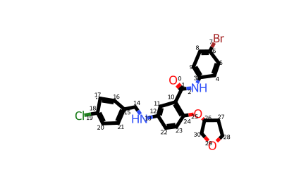 O=C(Nc1ccc(Br)cc1)c1cc(NCc2c[c]c(Cl)cc2)ccc1OC1CCOC1